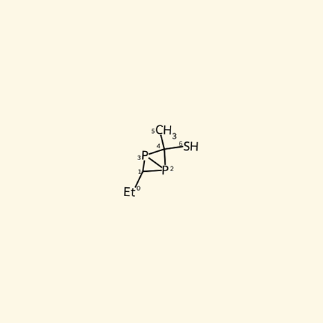 CCC1P2P1C2(C)S